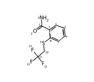 NC(=O)c1ccccc1SCC(F)(F)F